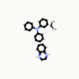 N#CCC#N.c1ccc(N(c2ccccc2)c2ccccc2)cc1.c1ccc2nccnc2c1